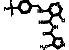 Cc1cnsc1C(=O)NC(=N)c1c(Cl)cncc1NCc1ccc(C(F)(F)F)cc1